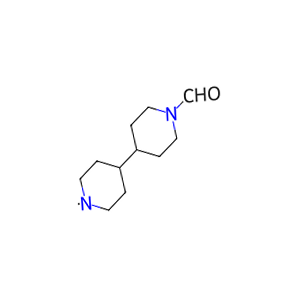 O=CN1CCC(C2CC[N]CC2)CC1